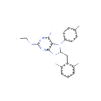 CC(C)CNc1nc(N)c2c(n1)NC(Cc1c(Cl)cccc1Cl)N2c1ccc(C(F)(F)F)cc1